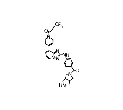 O=C(CCC(F)(F)F)N1CC=C(c2cccn3nc(Nc4ccc(C(=O)N5CC6CNCC6C5)cc4)nc23)CC1